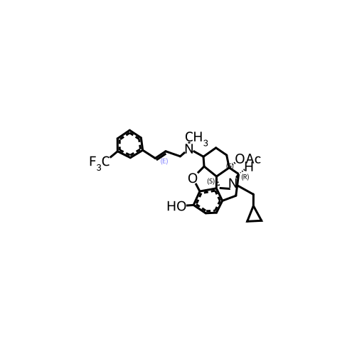 CC(=O)O[C@@]12CCC(N(C)C/C=C/c3cccc(C(F)(F)F)c3)C3Oc4c(O)ccc5c4[C@@]31CCN(CC1CC1)[C@@H]2C5